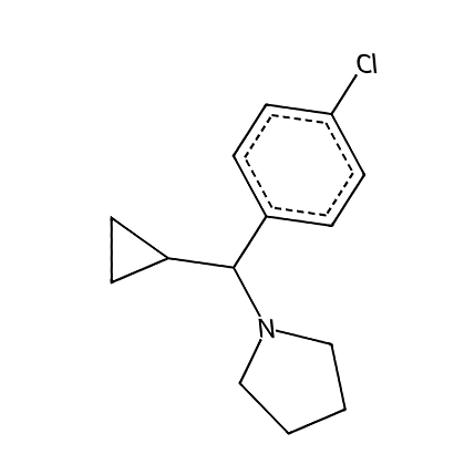 Clc1ccc(C(C2CC2)N2CCCC2)cc1